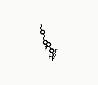 CCCc1ccc(CCc2ccc3c(F)c(-c4ccc(OC(F)F)c(F)c4)ccc3c2)cc1